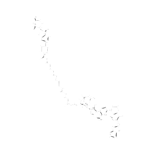 Cc1c(Nc2nc3ccccc3s2)nnc2c1CCCN2c1ccc(-c2cnn(CC34CC5(C)CC(C)(C3)CC(OCCN(C)CCCCCCCCCCCCCCCC(=O)N3CCC(c6ccc7c(c6)CN(C6CCC(=O)NC6=O)C7=O)CC3)(C5)C4)c2C)c(C(=O)O)n1